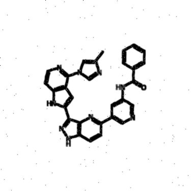 Cc1cn(-c2nccc3[nH]c(-c4n[nH]c5ccc(-c6cncc(NC(=O)c7ccccc7)c6)nc45)cc23)cn1